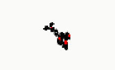 c1ccc(N(c2ccccc2)c2ccc(-c3ccc(-n4c5cccc6c5c5c7c(cc8ccccc8c7ccc54)-c4ccccc4-6)cc3)cc2)cc1